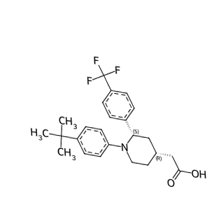 CC(C)(C)c1ccc(N2CC[C@@H](CC(=O)O)C[C@H]2c2ccc(C(F)(F)F)cc2)cc1